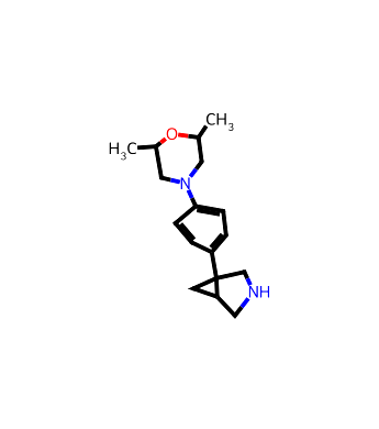 CC1CN(c2ccc(C34CNCC3C4)cc2)CC(C)O1